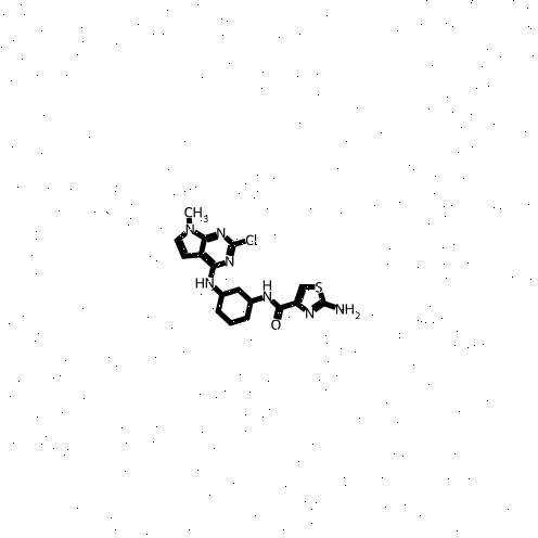 Cn1ccc2c(NC3CCCC(NC(=O)c4csc(N)n4)C3)nc(Cl)nc21